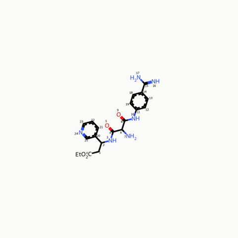 CCOC(=O)CC(NC(=O)C(N)C(=O)Nc1ccc(C(=N)N)cc1)c1cccnc1